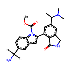 CCC(N)(CC)c1ccc2c(c1)cc(-c1cc(C(C)N(C)C)cc3c1C(=O)NC3)n2C(=O)OC(C)(C)C